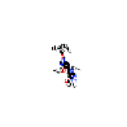 COc1c(-c2cc3cc(NC(C)=O)ncc3n2C)ccc2c1ncn2COCC[Si](C)(C)C